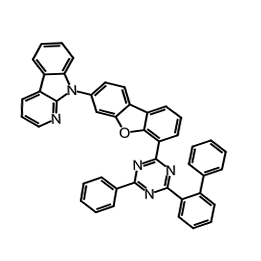 c1ccc(-c2nc(-c3ccccc3-c3ccccc3)nc(-c3cccc4c3oc3cc(-n5c6ccccc6c6cccnc65)ccc34)n2)cc1